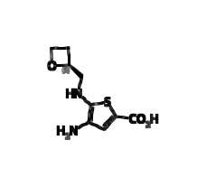 Nc1cc(C(=O)O)sc1NC[C@@H]1CCO1